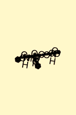 CC(C)(C)OC(=O)NOCCOCCOCCNC(=O)[C@H](CCCNC(=O)OCc1ccccc1)NC(=O)OCc1ccccc1